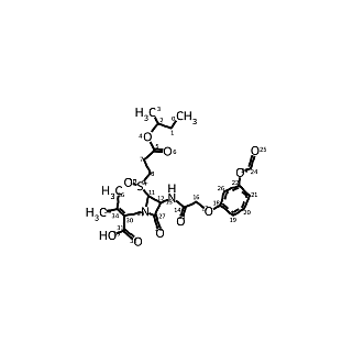 CCC(C)OC(=O)CC[S+]([O-])C1C(NC(=O)COc2cccc(OC=O)c2)C(=O)N1C(C(=O)O)=C(C)C